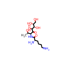 C[C@@H](O)[C@H](NC(=O)[C@@H](N)CCCCN)C(=O)C(O)[C@H](O)[C@@H](O)CO